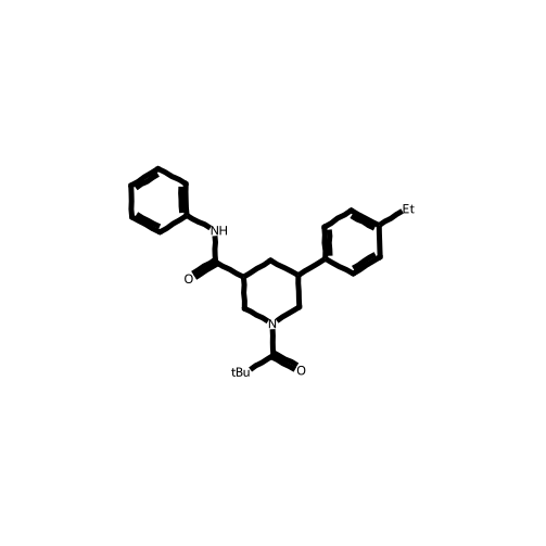 CCc1ccc(C2CC(C(=O)Nc3ccccc3)CN(C(=O)C(C)(C)C)C2)cc1